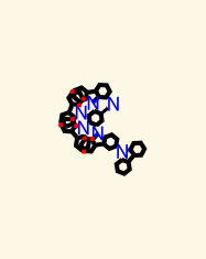 N#Cc1cc(-n2c3ccccc3c3cc(-n4c5ccccc5c5ccccc54)ccc32)c(-n2c3ccccc3c3ccccc32)c(-n2c3ccccc3c3ccccc32)c1-n1c2ccccc2c2ccccc21